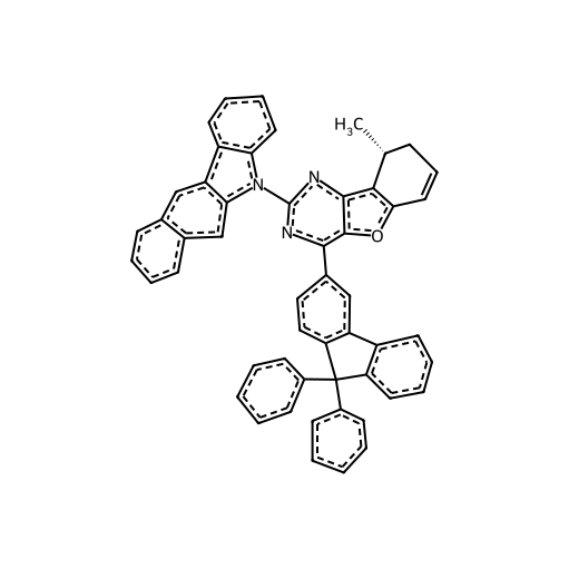 C[C@@H]1CC=Cc2oc3c(-c4ccc5c(c4)-c4ccccc4C5(c4ccccc4)c4ccccc4)nc(-n4c5ccccc5c5cc6ccccc6cc54)nc3c21